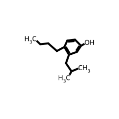 CCCCc1ccc(O)cc1CC(C)C